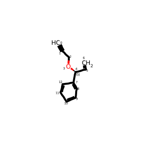 C#CCO[C@@H](C=C)c1ccccc1